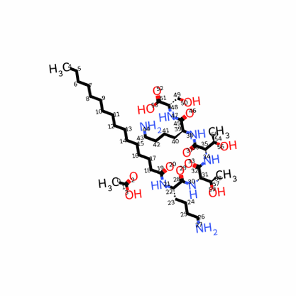 CC(=O)O.CCCCCCCCCCCCCCCC(=O)N[C@@H](CCCCN)C(=O)N[C@H](C(=O)N[C@H](C(=O)N[C@@H](CCCCN)C(=O)N[C@@H](CO)C(=O)O)[C@@H](C)O)[C@@H](C)O